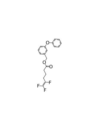 O=C(CCCC(F)=C(F)F)OCc1cccc(Oc2ccccc2)c1